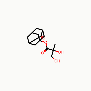 CC(O)(CO)C(=O)OC12CC3CC(C1)C(=O)C(C3)C2